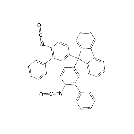 O=C=Nc1ccc(C2(c3ccc(N=C=O)c(-c4ccccc4)c3)c3ccccc3-c3ccccc32)cc1-c1ccccc1